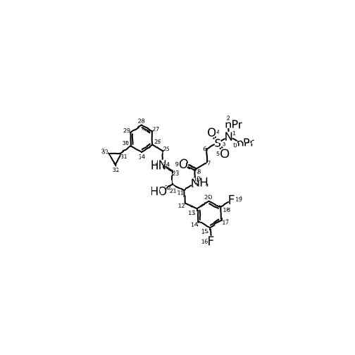 CCCN(CCC)S(=O)(=O)CCC(=O)NC(Cc1cc(F)cc(F)c1)C(O)CNCc1cccc(C2CC2)c1